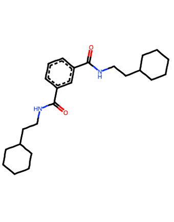 O=C(NCCC1CCCCC1)c1cccc(C(=O)NCCC2CCCCC2)c1